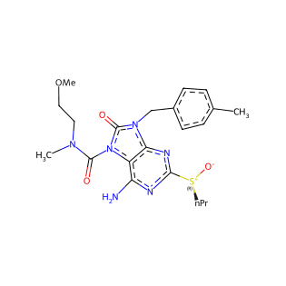 CCC[S@+]([O-])c1nc(N)c2c(n1)n(Cc1ccc(C)cc1)c(=O)n2C(=O)N(C)CCOC